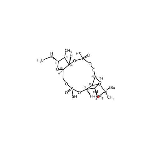 BB[C@@H]1O[C@@H]2COP(=O)(S)O[C@@H]3[C@H](O[Si](C)(C)C(C)(C)C)[C@@H](COP(=O)(S)O[C@H]2[C@H]1C)O[C@H]3C